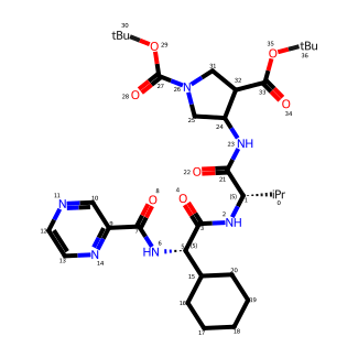 CC(C)[C@H](NC(=O)[C@@H](NC(=O)c1cnccn1)C1CCCCC1)C(=O)NC1CN(C(=O)OC(C)(C)C)CC1C(=O)OC(C)(C)C